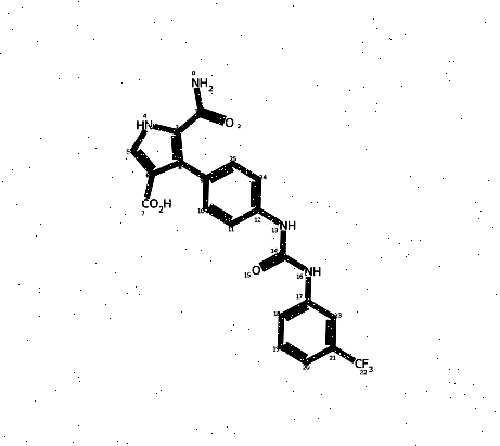 NC(=O)c1[nH]cc(C(=O)O)c1-c1ccc(NC(=O)Nc2cccc(C(F)(F)F)c2)cc1